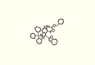 O=C(Nc1ccc2c(c(-c3cc4ccccc4o3)nn2C(c2ccccc2)(c2ccccc2)c2ccccc2)c1F)OCc1ccccc1